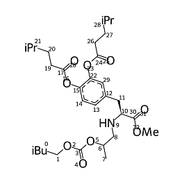 CCC(C)COC(=O)OC(C)CN[C@@H](Cc1ccc(OC(=O)CCC(C)C)c(OC(=O)CCC(C)C)c1)C(=O)OC